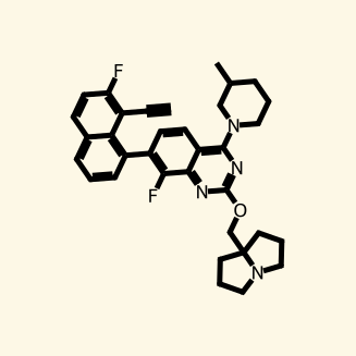 C#Cc1c(F)ccc2cccc(-c3ccc4c(N5CCCC(C)C5)nc(OCC56CCCN5CCC6)nc4c3F)c12